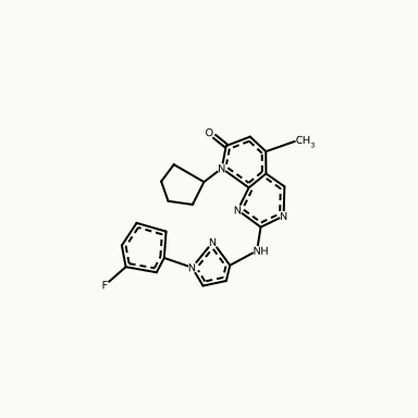 Cc1cc(=O)n(C2CCCC2)c2nc(Nc3ccn(-c4cccc(F)c4)n3)ncc12